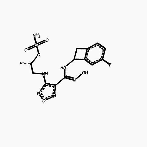 C[C@@H](CNc1nonc1/C(=N/O)NC1Cc2ccc(F)cc21)OS(N)(=O)=O